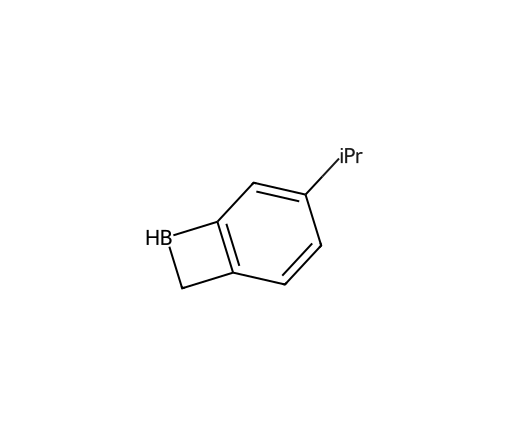 CC(C)c1ccc2c(c1)BC2